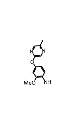 COc1cc(Oc2cnc(C)cn2)ccc1[NH]